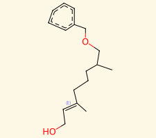 C/C(=C\CO)CCCC(C)COCc1ccccc1